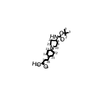 CC(C)(C)OC(=O)NC1CCN(c2ccc(/C=C/C(=O)O)cc2)CC1